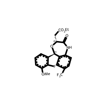 CCOC(=O)C[C@H]1O[C@H](c2cccc(OC)c2F)c2cc(C(F)(F)F)ccc2NC1=O